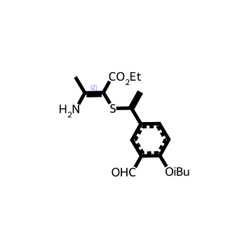 C=C(S/C(C(=O)OCC)=C(/C)N)c1ccc(OCC(C)C)c(C=O)c1